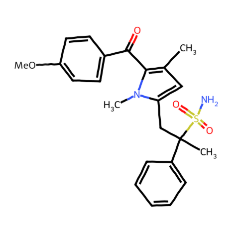 COc1ccc(C(=O)c2c(C)cc(CC(C)(c3ccccc3)S(N)(=O)=O)n2C)cc1